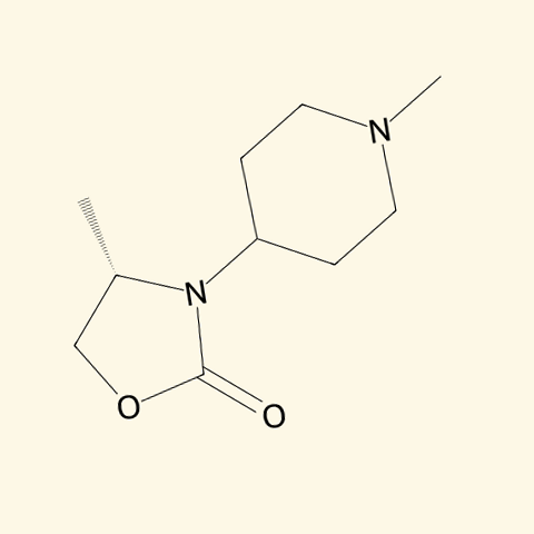 C[C@H]1COC(=O)N1C1CCN(C)CC1